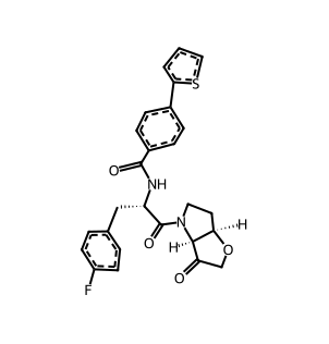 O=C(N[C@@H](Cc1ccc(F)cc1)C(=O)N1CC[C@H]2OCC(=O)[C@H]21)c1ccc(-c2cccs2)cc1